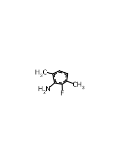 Cc1ccc(C)c(F)c1N